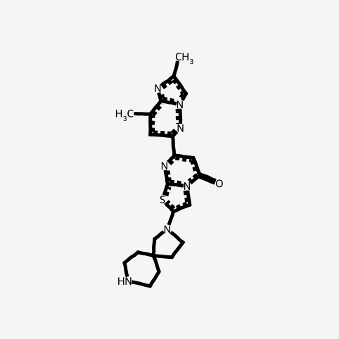 Cc1cn2nc(-c3cc(=O)n4cc(N5CCC6(CCNCC6)C5)sc4n3)cc(C)c2n1